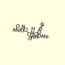 COc1cc2c(cc1OCOCC[Si](C)(C)C)Nc1cc(-c3ccc([N+](=O)[O-])c(OC)c3)ccc1C(=O)N2